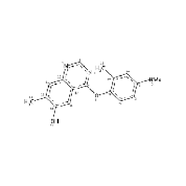 CNc1ccc(Oc2ncnc3cc(C)c(O)cc23)c(C)c1